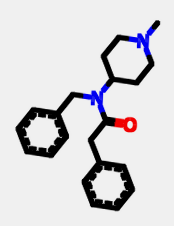 CN1CCC(N(Cc2ccccc2)C(=O)Cc2ccccc2)CC1